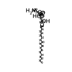 CCCCCCCCCCCCCCCCCCOC[C@@H](O)COP(=O)(O)OCCN